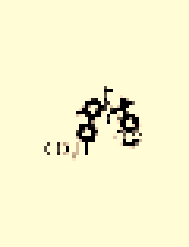 Cc1ccc(NC(=O)C2(c3ccc4c(c3)OCCO4)CC2)cc1-c1ccc(C(=O)O)cc1